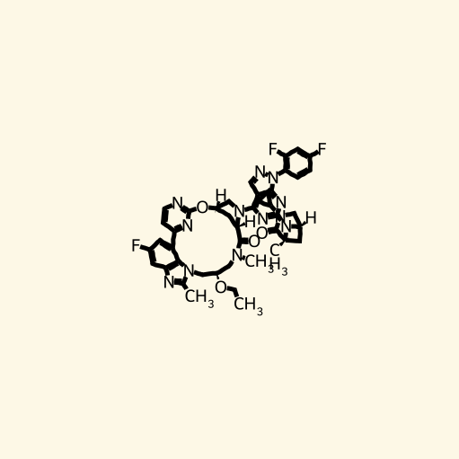 CCO[C@H]1CN(C)C(=O)[C@@H]2C[C@@H](CN2c2nc(N3[C@@H]4CN(C5CC5)C(=O)[C@@]3(C)C4)nc3c2cnn3-c2ccc(F)cc2F)Oc2nccc(n2)-c2cc(F)cc3nc(C)n(c23)C1